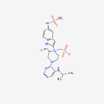 CC(C)Nc1cccnc1N1CC[N+](CS(=O)(=O)[O-])(c2cc3cc(NS(C)(=O)=O)ccc3[nH]2)C(C=O)C1